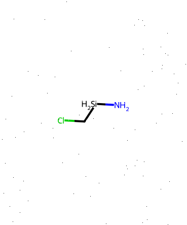 N[SiH2]CCl